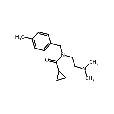 Cc1ccc(CN(CCN(C)C)C(=O)C2CC2)cc1